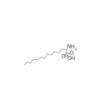 CCCCCCCCCCCCC(N)S(=O)(=O)O